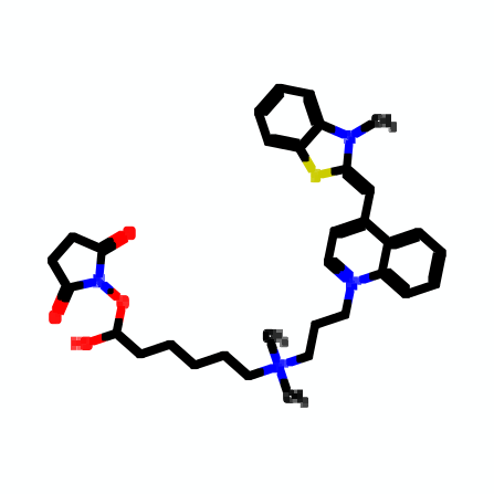 CN1/C(=C/c2cc[n+](CCC[N+](C)(C)CCCCCC(O)ON3C(=O)CCC3=O)c3ccccc23)Sc2ccccc21